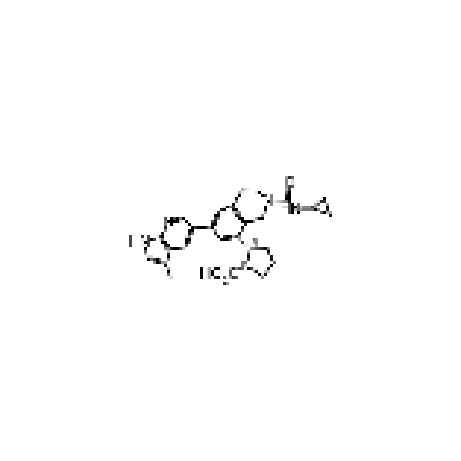 Cc1c[nH]c2ncc(-c3cc4c(c([C@@H]5CCCN5C(=O)O)c3)CN(C(=O)NC3CC3)CC4)cc12